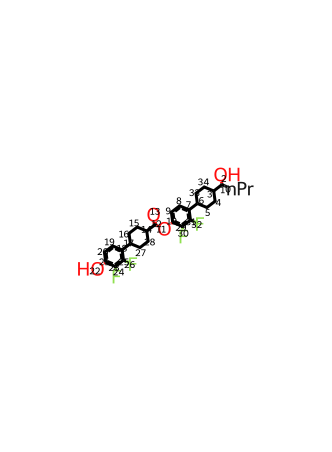 CCCC(O)C1CCC(c2ccc(OC(=O)C3CCC(c4ccc(O)c(F)c4F)CC3)c(F)c2F)CC1